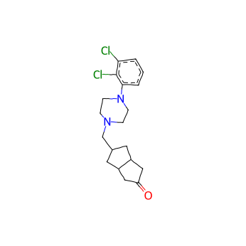 O=C1CC2CC(CN3CCN(c4cccc(Cl)c4Cl)CC3)CC2C1